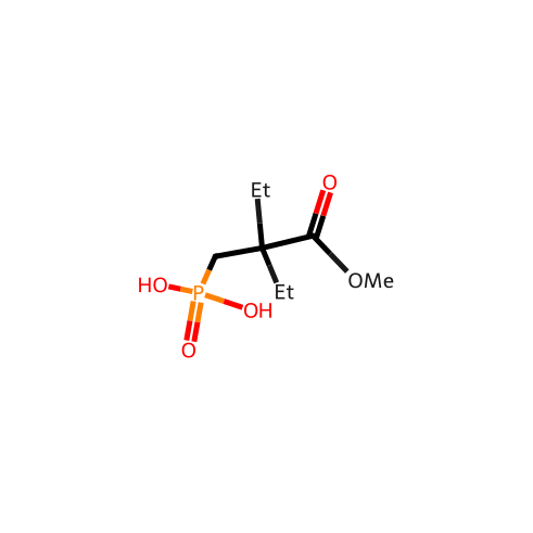 CCC(CC)(CP(=O)(O)O)C(=O)OC